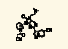 CN(C)CCn1c(=O)n([C@H]2CCCN(C(=O)CC#N)C2)c2nc(-c3cnn4ccc(C#N)cc34)ncc21